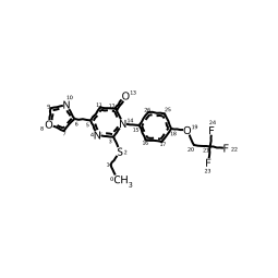 CCSc1nc(-c2cocn2)cc(=O)n1-c1ccc(OCC(F)(F)F)cc1